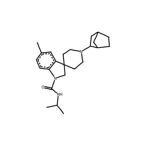 Cc1ccc2c(c1)C1(CCN(C3CC4CCC3C4)CC1)CN2C(=O)NC(C)C